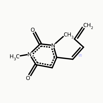 C=C/C=C\c1cc(=O)n(C)c(=O)n1C